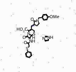 COc1ccc(CN2CC/C(=C\C3=C(C(=O)O)N4C(=O)[C@@H](NC(=O)CSc5ccccc5)[C@H]4SC3)C2=O)cc1.c1c[nH]cn1